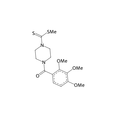 COc1ccc(C(=O)N2CCN(C(=S)SC)CC2)c(OC)c1OC